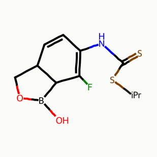 CC(C)SC(=S)NC1=C(F)C2B(O)OCC2C=C1